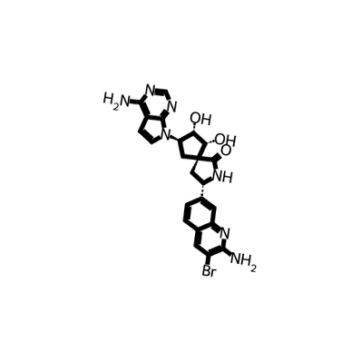 Nc1nc2cc([C@@H]3C[C@]4(C[C@@H](n5ccc6c(N)ncnc65)[C@H](O)[C@@H]4O)C(=O)N3)ccc2cc1Br